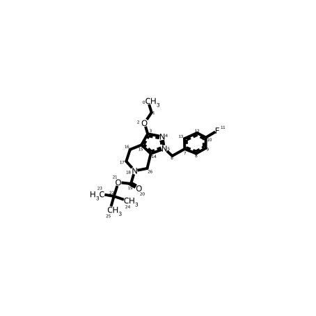 CCOc1nn(Cc2ccc(F)cc2)c2c1CCN(C(=O)OC(C)(C)C)C2